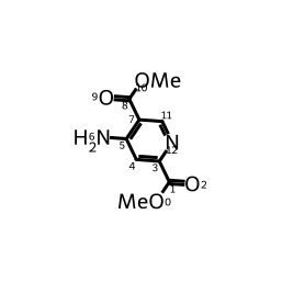 COC(=O)c1cc(N)c(C(=O)OC)cn1